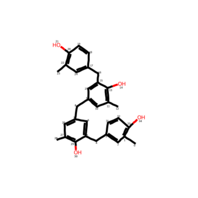 Cc1cc(Cc2cc(Cc3cc(C)c(O)c(Cc4ccc(O)c(C)c4)c3)cc(C)c2O)ccc1O